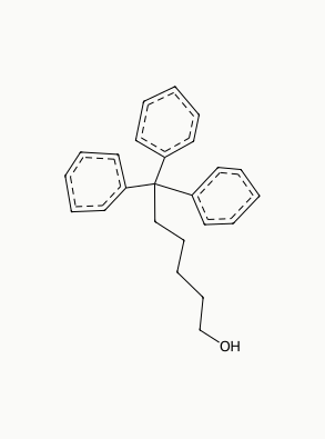 OCCCCCC(c1ccccc1)(c1ccccc1)c1ccccc1